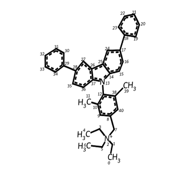 CC[N+](CC)(CC)Cc1cc(C)c(-n2c3ccc(-c4ccccc4)cc3c3cc(-c4ccccc4)ccc32)c(C)c1